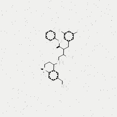 CC(C)(C)Cc1ccc2c(c1)C(NCC(O)C(Cc1cc(F)cc(F)c1)C(=O)Nc1ccccc1)CCS2(=O)=O